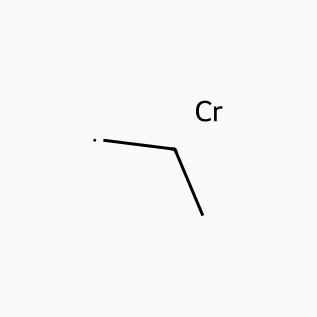 [CH2]CC.[Cr]